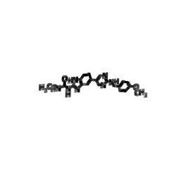 CCNC(=O)Nc1nc2cc(-c3cnc(NCc4ccc(OC)cc4)nc3)ccc2[nH]1